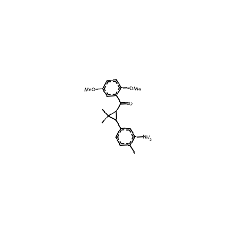 COc1ccc(OC)c(C(=O)C2C(c3ccc(C)c(N)c3)C2(C)C)c1